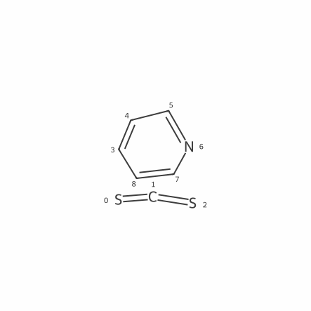 S=C=S.c1ccncc1